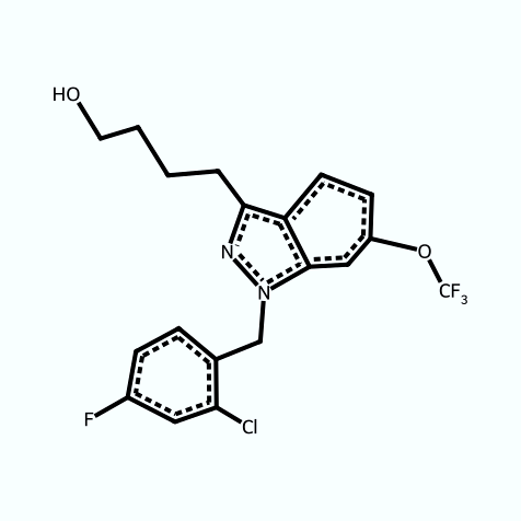 OCCCCc1nn(Cc2ccc(F)cc2Cl)c2cc(OC(F)(F)F)ccc12